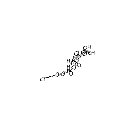 Nc1nc(=O)n([C@H]2CC(O)[C@@H](CO)O2)cc1CNC(=O)c1ccc(C(=O)NCCOCCOCCCCCCCl)cc1